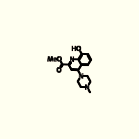 COC(=O)c1cc(N2CCN(C)CC2)c2cccc(O)c2n1